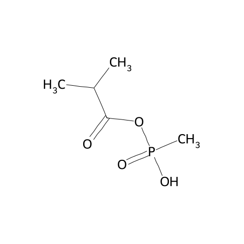 CC(C)C(=O)OP(C)(=O)O